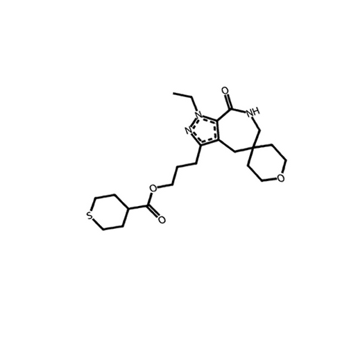 CCn1nc(CCCOC(=O)C2CCSCC2)c2c1C(=O)NCC1(CCOCC1)C2